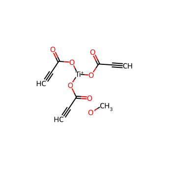 C#CC(=O)[O][Ti+]([O]C(=O)C#C)[O]C(=O)C#C.C[O-]